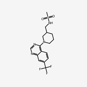 CS(=O)(=O)NCC1CCCN(c2ncnc3cc(C(F)(F)F)ccc23)C1